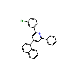 Brc1cccc(-c2cc(-c3cccc4ccccc34)cc(-c3ccccc3)n2)c1